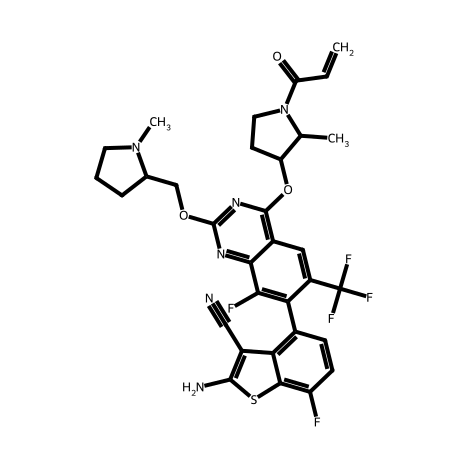 C=CC(=O)N1CCC(Oc2nc(OCC3CCCN3C)nc3c(F)c(-c4ccc(F)c5sc(N)c(C#N)c45)c(C(F)(F)F)cc23)C1C